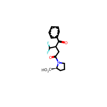 O=C(c1ccccc1)C(CC(=O)N1CCC[C@H]1C(=O)O)C(F)F